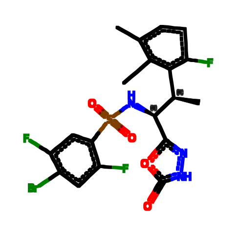 Cc1ccc(F)c([C@@H](C)[C@H](NS(=O)(=O)c2cc(F)c(Br)cc2F)c2n[nH]c(=O)o2)c1C